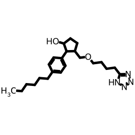 CCCCCCc1ccc(C2C(O)CCC2COCCCCc2nnn[nH]2)cc1